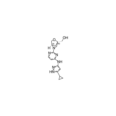 OC[C@]12C[C@H](CO1)N(c1nccc(Nc3cc(C4CC4)[nH]n3)n1)C2